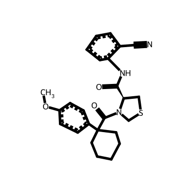 COc1ccc(C2(C(=O)N3CSC[C@@H]3C(=O)Nc3ccccc3C#N)CCCCC2)cc1